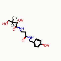 CC(C)(CO)[C@@H](O)C(=O)NCCC(=O)NCc1ccc(O)cc1